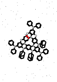 c1ccc(N(c2ccccc2)c2cc3c4c(c2)Oc2cc5c(cc2B4c2ccccc2O3)B2c3cc4c(cc3N(C36CC7CC(CC(C7)C3)C6)c3cc(N(c6ccccc6)c6ccccc6)cc(c32)N5C23CC5CC(CC(C5)C2)C3)N(C23CC5CC(CC(C5)C2)C3)c2cc(N(c3ccccc3)c3ccccc3)cc3c2B4c2ccccc2O3)cc1